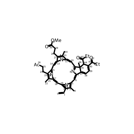 C=Cc1c(C)c2cc3nc(cc4[nH]c(cc5nc(cc1[nH]2)C(C)=C5CCC(C)=O)c(CCC(=O)OC)c4C)C1(C)C3=CC=C(C(=O)CC)C1C(=O)CC